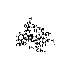 CC(O)CN(CCN(CC(C)O)CC(C)O)CC(C)O.CCN(CC)C(=O)[C@@H]1C=C2c3cccc4[nH]cc(c34)C[C@H]2N(C)C1